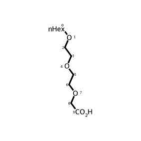 CCCCCCOCCOCCOCC(=O)O